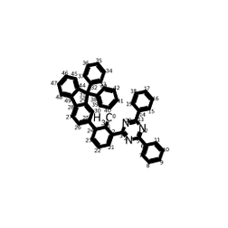 CC1C(c2nc(-c3ccccc3)nc(-c3ccccc3)n2)=CC=CC1c1ccc2c(c1)C(c1ccccc1)(c1ccccc1)c1ccccc1-2